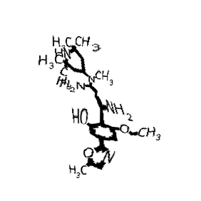 CCOc1cc(-c2ncc(C)o2)cc(O)c1/C(N)=C/C=C(\N)N(C)C1CC(C)(C)NC(C)(C)C1